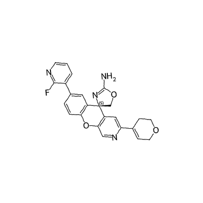 NC1=N[C@@]2(CO1)c1cc(-c3cccnc3F)ccc1Oc1cnc(C3=CCOCC3)cc12